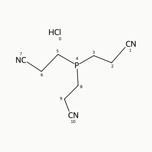 Cl.N#CCCP(CCC#N)CCC#N